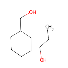 CCCO.OCC1CCCCC1